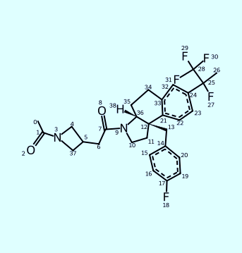 CC(=O)N1CC(CC(=O)N2CC[C@@]3(Cc4ccc(F)cc4)c4ccc(C(C)(F)C(F)(F)F)cc4CC[C@@H]23)C1